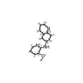 COc1cccnc1Nc1ccc2ncccc2c1